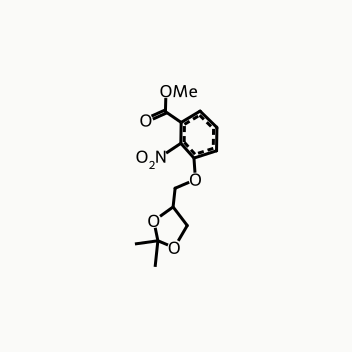 COC(=O)c1cccc(OCC2COC(C)(C)O2)c1[N+](=O)[O-]